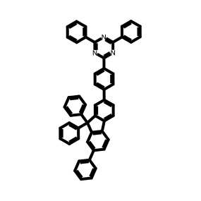 c1ccc(-c2ccc3c(c2)C(c2ccccc2)(c2ccccc2)c2cc(-c4ccc(-c5nc(-c6ccccc6)nc(-c6ccccc6)n5)cc4)ccc2-3)cc1